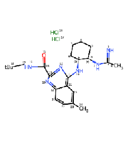 CC(=N)N[C@@H]1CCCC[C@@H]1Nc1nc(C(=O)NCC(C)(C)C)nc2ccc(C)cc12.Cl.Cl